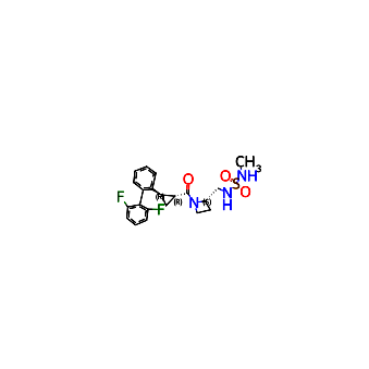 CNS(=O)(=O)NC[C@@H]1CCN1C(=O)[C@@H]1C[C@H]1c1ccccc1-c1c(F)cccc1F